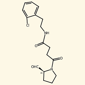 O=C[C@@H]1CCCN1C(=O)CCC(=O)NCCc1ccccc1Cl